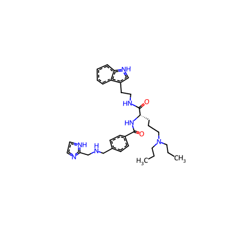 CCCN(CCC)CCC[C@H](NC(=O)c1ccc(CNCc2ncc[nH]2)cc1)C(=O)NCCc1c[nH]c2ccccc12